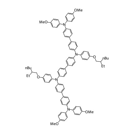 CCCCC(CC)COc1ccc(N(c2ccc(-c3ccc(N(c4ccc(OC)cc4)c4ccc(OC)cc4)cc3)cc2)c2ccc(-c3ccc(N(c4ccc(OCC(CC)CCCC)cc4)c4ccc(-c5ccc(N(c6ccc(OC)cc6)c6ccc(OC)cc6)cc5)cc4)cc3)cc2)cc1